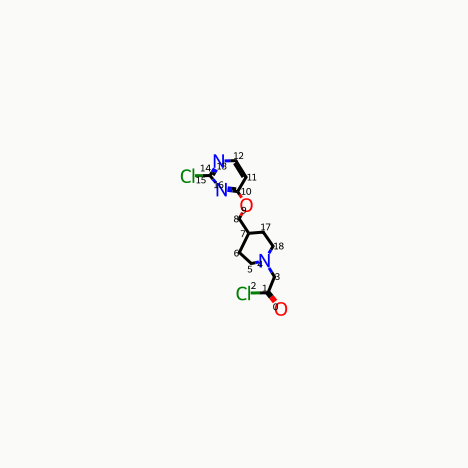 O=C(Cl)CN1CCC(COc2ccnc(Cl)n2)CC1